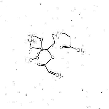 C=CC(=O)OC(CC)[Si](OC)(OC)OC.CCC(C)=O